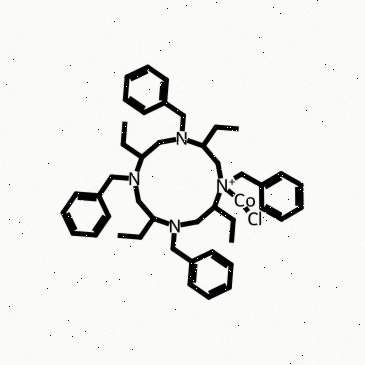 CCC1CN(Cc2ccccc2)C(CC)C[N+](Cc2ccccc2)([Co][Cl])C(CC)CN(Cc2ccccc2)C(CC)CN1Cc1ccccc1